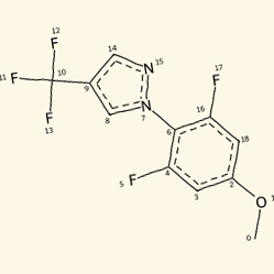 COc1cc(F)c(-n2cc(C(F)(F)F)cn2)c(F)c1